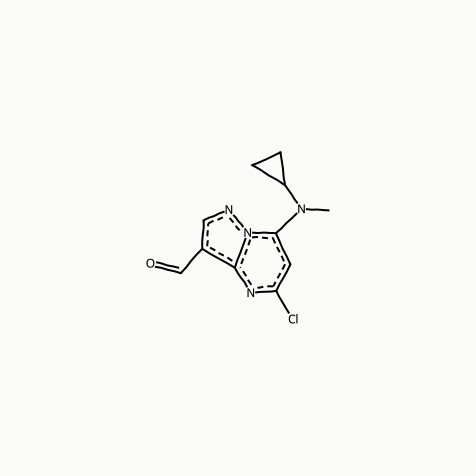 CN(c1cc(Cl)nc2c(C=O)cnn12)C1CC1